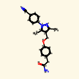 Cc1nn(-c2ccc(C#N)cc2)c(C)c1COc1ccc(CC(N)=O)cc1